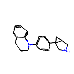 c1ccc2c(c1)CCCN2c1ccc(C23CNCC2C3)cc1